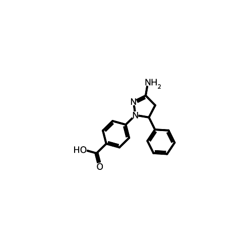 NC1=NN(c2ccc(C(=O)O)cc2)C(c2ccccc2)C1